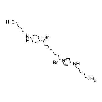 CCCCCCNc1cc[n+](C(Br)CCCCCCC(Br)[n+]2ccc(NCCCCCC)cc2)cc1